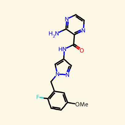 COc1ccc(F)c(Cn2cc(NC(=O)c3nccnc3N)cn2)c1